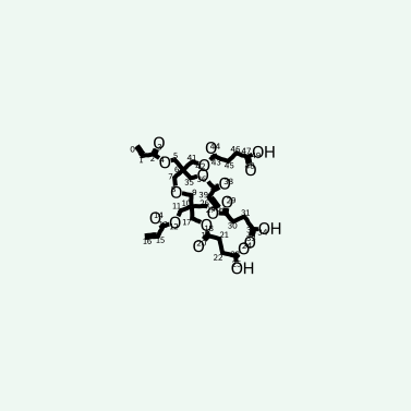 C=CC(=O)OCC(COCC(COC(=O)C=C)(COC(=O)CCC(=O)O)COC(=O)CCC(=O)O)(COC(=O)C=C)COC(=O)CCC(=O)O